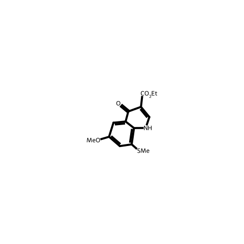 CCOC(=O)c1c[nH]c2c(SC)cc(OC)cc2c1=O